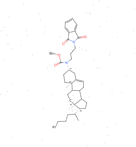 CC(C)CCCC(C)[C@H]1CCC2C3CC=C4C[C@@H](N(CCCN5C(=O)c6ccccc6C5=O)C(=O)OC(C)(C)C)CC[C@]4(C)C3CC[C@@]21C